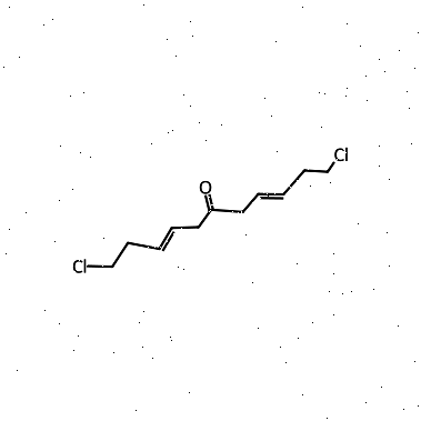 O=C(CC=CCCCl)CC=CCCCl